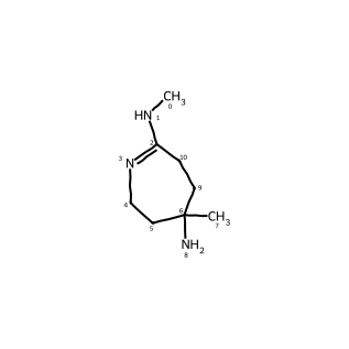 CNC1=NCCC(C)(N)CC1